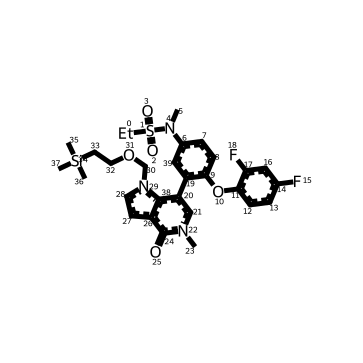 CCS(=O)(=O)N(C)c1ccc(Oc2ccc(F)cc2F)c(-c2cn(C)c(=O)c3ccn(COCC[Si](C)(C)C)c23)c1